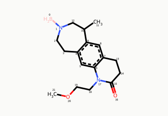 BN1CCc2cc3c(cc2C(C)C1)CCC(=O)N3CCOC